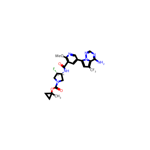 COc1ncc(-c2cc(C(F)(F)F)c3c(N)ncnn23)cc1C(=O)N[C@@H]1CN(C(=O)OC2(C)CC2)C[C@@H]1F